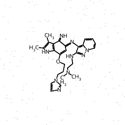 Cc1[nH]c2c(c1C)C(=N)C(=Nc1c(NCCN(C)C)nn3ccccc13)C=C2OCCCn1ccnc1